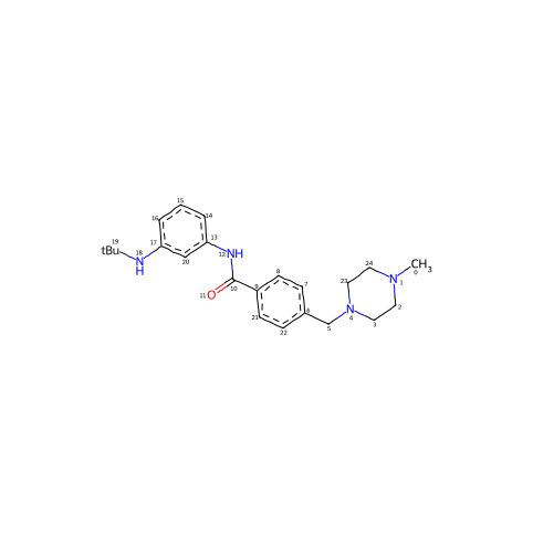 CN1CCN(Cc2ccc(C(=O)Nc3cccc(NC(C)(C)C)c3)cc2)CC1